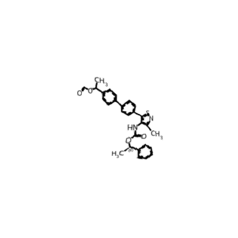 Cc1nsc(-c2ccc(-c3ccc(C(C)OC=O)cc3)cc2)c1NC(=O)O[C@H](C)c1ccccc1